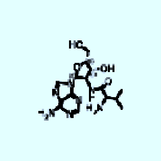 CC(C)C(N)C(=O)NC1[C@@H](O)[C@@H](CO)O[C@H]1n1cnc2c(N)ncnc21